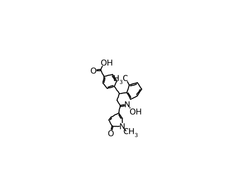 Cc1ccccc1C(C/C(=N/O)c1ccc(=O)n(C)c1)c1ccc(C(=O)O)cc1